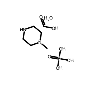 CN1CCNCC1.O.O=CO.O=P(O)(O)O